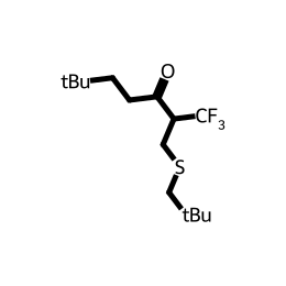 CC(C)(C)CCC(=O)C(CSCC(C)(C)C)C(F)(F)F